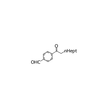 CCCCCCCCC(=O)c1ccc(C=O)cc1